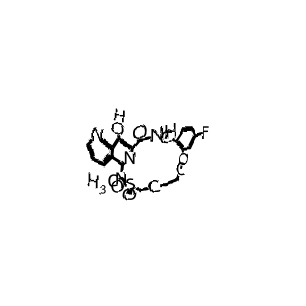 CN1c2nc(c(O)c3ncccc23)C(=O)NCc2ccc(F)cc2OCCCCCS1(=O)=O